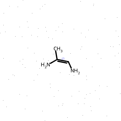 C/C(N)=C/N